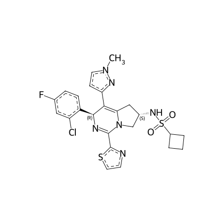 Cn1ccc(C2=C3C[C@H](NS(=O)(=O)C4CCC4)CN3C(c3nccs3)=N[C@H]2c2ccc(F)cc2Cl)n1